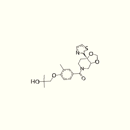 Cc1cc(C(=O)N2CC[C@]3(c4nccs4)OCOC3C2)ccc1OCC(C)(C)O